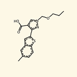 CCCOCn1cc(C(=O)O)c(-c2cc3cc(C)ccc3s2)n1